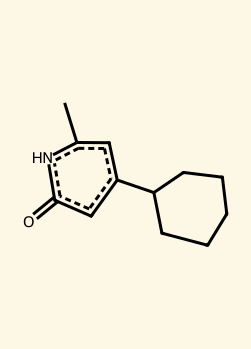 Cc1cc(C2CCCCC2)cc(=O)[nH]1